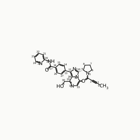 CC#CC(=O)N1CCC[C@H]1c1nc(-c2ccc(C(=O)Nc3ccccn3)cc2)c2c(CO)nccn12